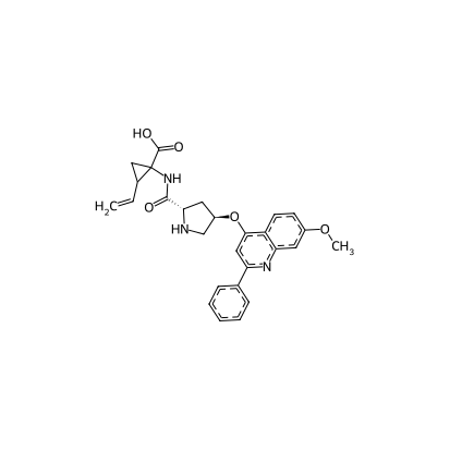 C=CC1CC1(NC(=O)[C@@H]1C[C@@H](Oc2cc(-c3ccccc3)nc3cc(OC)ccc23)CN1)C(=O)O